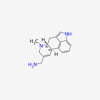 CN1CC(CN)=C[C@@H]2c3cccc4[nH]cc(c34)C[C@H]21